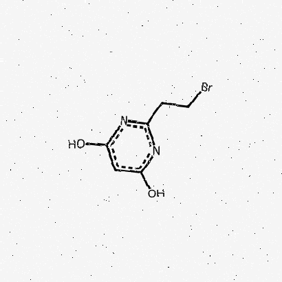 Oc1cc(O)nc(CCBr)n1